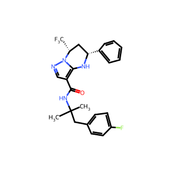 CC(C)(Cc1ccc(F)cc1)NC(=O)c1cnn2c1N[C@@H](c1ccccc1)C[C@H]2C(F)(F)F